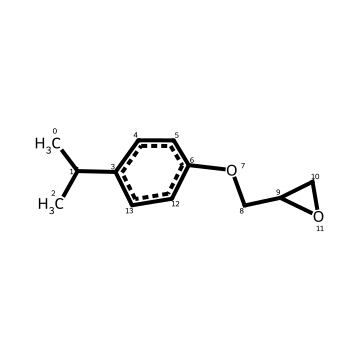 C[C](C)c1ccc(OCC2CO2)cc1